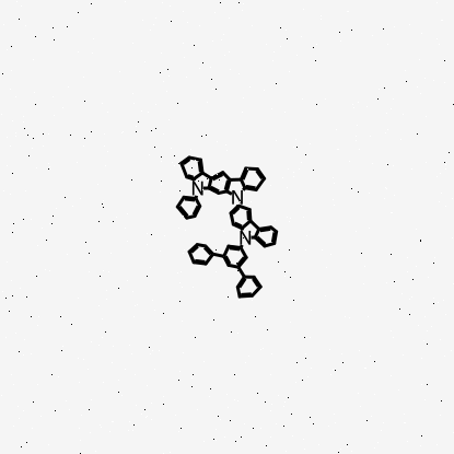 c1ccc(-c2cc(-c3ccccc3)cc(-n3c4ccccc4c4cc(-n5c6ccccc6c6cc7c8ccccc8n(-c8ccccc8)c7cc65)ccc43)c2)cc1